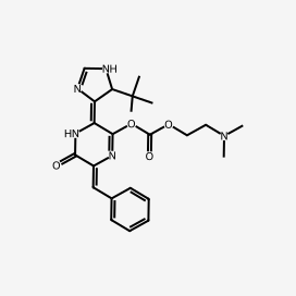 CN(C)CCOC(=O)Oc1n/c(=C\c2ccccc2)c(=O)[nH]/c1=C1\N=CNC1C(C)(C)C